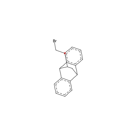 BrCCC1CC2c3ccccc3C1c1ccccc12